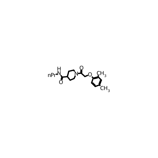 CCCNC(=O)C1CCN(C(=O)COc2ccc(C)cc2C)CC1